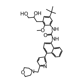 COc1c(CC(O)CO)cc(C(C)(C)C)cc1NC(=O)Nc1ccc(-c2ccc(CN3CCOCC3)nc2)c2ccccc12